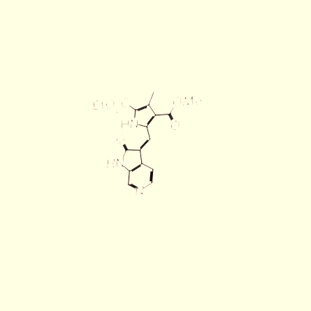 CCOC(=O)c1[nH]c(C=C2C(=O)Nc3cnccc32)c(C(=O)OC)c1C